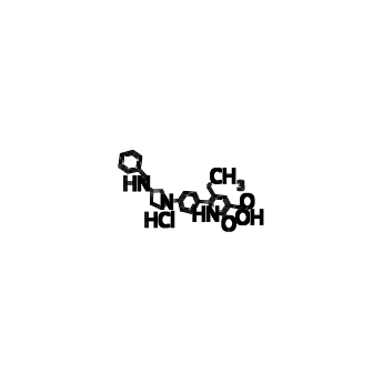 CCc1cc(C(=O)O)c(=O)[nH]c1-c1ccc(N2CCC(NCc3ccccc3)C2)cc1.Cl